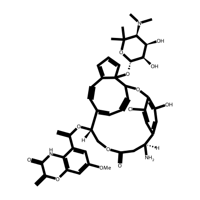 C=C1Oc2cc(OC)cc(C(=C)O[C@H]3COC(=O)C[C@H](N)c4cc(O)c(c(Cl)c4)OC4C#C/C=C/3C#CC3=CC=CC34O[C@@H]3OC(C)(C)[C@@H](N(C)C)[C@@H](O)[C@H]3O)c2NC1=O